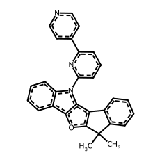 CC1(C)c2ccccc2-c2c1oc1c3ccccc3n(-c3cccc(-c4ccncc4)n3)c21